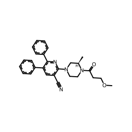 COCCC(=O)N1CCN(c2nc(-c3ccccc3)c(-c3ccccc3)cc2C#N)C[C@H]1C